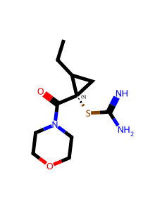 CCC1C[C@@]1(SC(=N)N)C(=O)N1CCOCC1